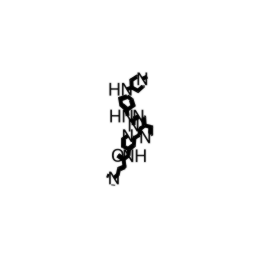 CN(C)CC=CC(=O)Nc1ccnc(-c2nccc3cnc(Nc4ccc(NC5CCN(C)CC5)cc4)nc23)c1